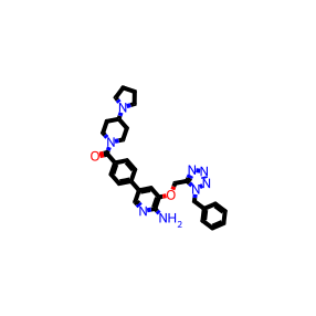 Nc1ncc(-c2ccc(C(=O)N3CCC(N4CCCC4)CC3)cc2)cc1OCc1nnnn1Cc1ccccc1